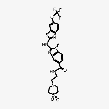 Cn1c(Nc2nc3ccc(OC(F)(F)F)cc3s2)nc2cc(C(=O)NCCN3CCS(=O)(=O)CC3)ccc21